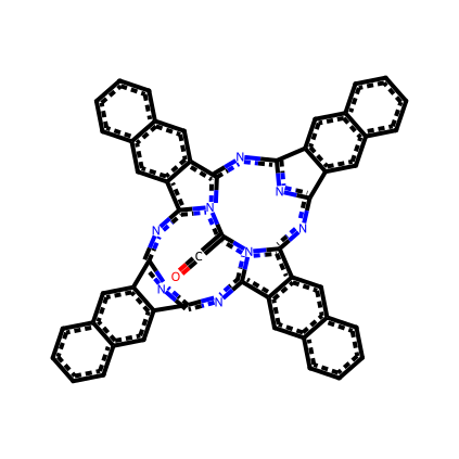 O=C=c1n2c3nc4nc(nc5c6cc7ccccc7cc6c(nc6nc(nc2c2cc7ccccc7cc23)-c2cc3ccccc3cc2-6)n15)-c1cc2ccccc2cc1-4